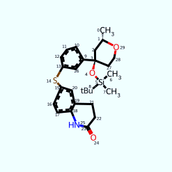 C[C@H]1C[C@@](O[Si](C)(C)C(C)(C)C)(c2cccc(Sc3ccc4c(c3)CCC(=O)N4)c2)CCO1